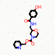 O=C(NCC1CN(C(=O)OCc2ccccn2)CCO1)c1ccc(O)cc1